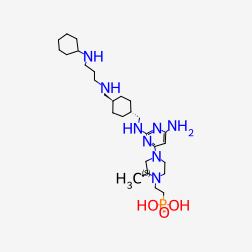 C[C@H]1CN(c2cc(N)nc(NC[C@H]3CC[C@H](CNCCCNC4CCCCC4)CC3)n2)CCN1CCP(=O)(O)O